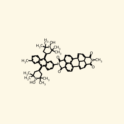 Cc1ccc2c(=C3CC(C)(C)N(O)C(C)(C)C3)c3cc(N4C(=O)c5ccc6c7c(ccc(c57)C4=O)C4=CC=C5C(=O)N(C)C(=O)C7=CC=C6C4C75)ccc3c(=C3CC(C)(C)N(O)C(C)(C)C3)c2c1